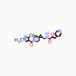 Cc1nn(C)cc1C(=O)N1CCC2(CC1)CC2CNC(=O)c1cc2ccncc2o1